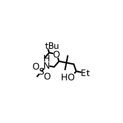 CCC(O)CC(C)(C)C(CNS(C)(=O)=O)OC(C)C(C)(C)C